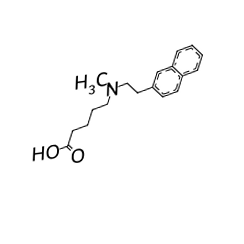 CN(CCCCC(=O)O)CCc1ccc2ccccc2c1